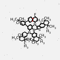 CC1(C)CCC(C)(C)C2=CC(N3c4cc5c(cc4B4c6sc7cc8c(cc7c6N(c6ccc(F)cc6)c6cc(-c7ccc(C(C)(C)C)cc7-c7ccccc7)cc3c64)C(C)(C)CCC8(C)C)C(C)(C)CCC5(C)C)CC=C21